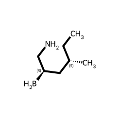 B[C@@H](CN)C[C@@H](C)CC